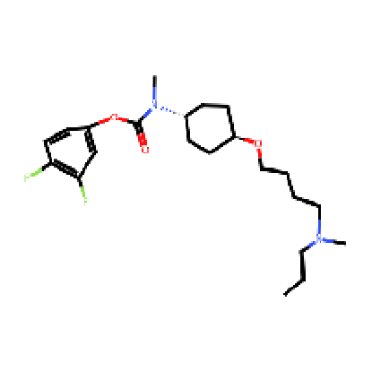 CCCN(C)CCCCO[C@H]1CC[C@H](N(C)C(=O)Oc2ccc(F)c(F)c2)CC1